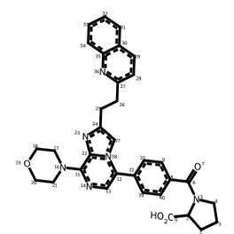 O=C(O)C1CCCN1C(=O)c1ccc(-c2cnc(N3CCOCC3)c3nc(CCc4ccc5ccccc5n4)cn23)cc1